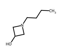 CCCCN1CC(O)C1